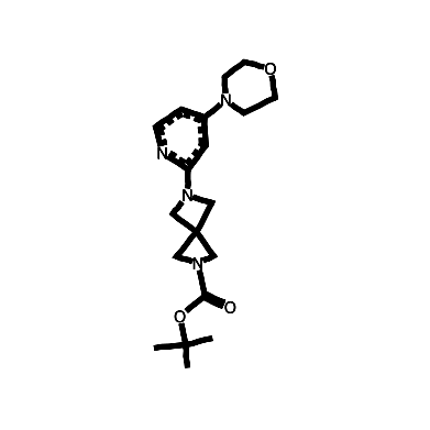 CC(C)(C)OC(=O)N1CC2(C1)CN(c1cc(N3CCOCC3)ccn1)C2